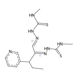 CCC(C(/C=N/NC(=S)NC)=N/NC(=S)NC)c1cccnc1